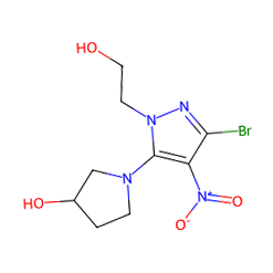 O=[N+]([O-])c1c(Br)nn(CCO)c1N1CCC(O)C1